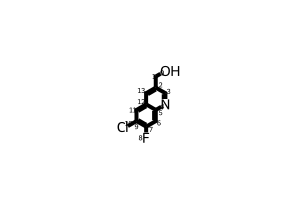 OCc1cnc2cc(F)c(Cl)cc2c1